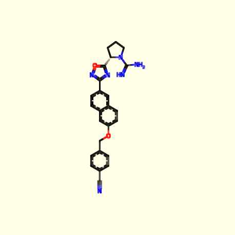 N#Cc1ccc(COc2ccc3cc(-c4noc([C@@H]5CCCN5C(=N)N)n4)ccc3c2)cc1